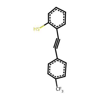 FC(F)(F)c1ccc(C#Cc2ccccc2S)cc1